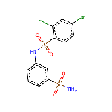 NS(=O)(=O)c1cccc(NS(=O)(=O)c2ccc(Br)cc2Cl)c1